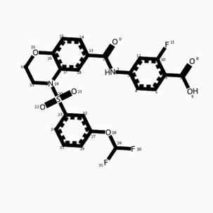 O=C(Nc1ccc(C(=O)O)c(F)c1)c1ccc2c(c1)N(S(=O)(=O)c1cccc(OC(F)F)c1)CCO2